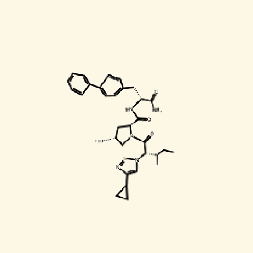 CCC(C)[C@@H](C(=O)N1C[C@H](O)C[C@H]1C(=O)N[C@H](Cc1ccc(-c2ccccc2)cc1)C(N)=O)n1cc(C2CC2)nn1